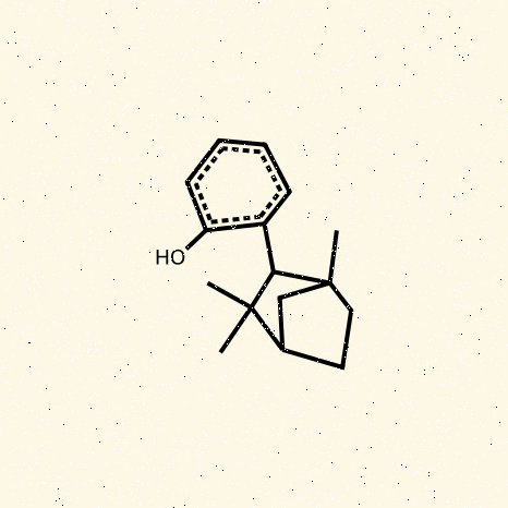 CC12CCC(C1)C(C)(C)C2c1ccccc1O